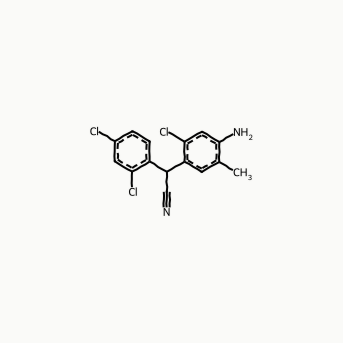 Cc1cc(C(C#N)c2ccc(Cl)cc2Cl)c(Cl)cc1N